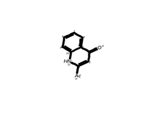 CC(=O)c1cc(=O)c2ccccc2[nH]1